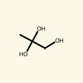 CC(O)(O)[C]O